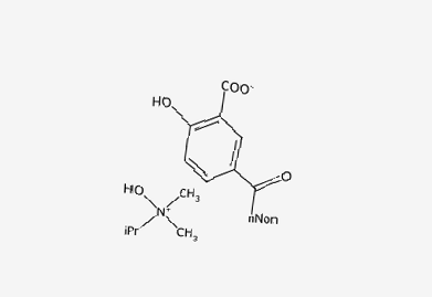 CC(C)[N+](C)(C)O.CCCCCCCCCC(=O)c1ccc(O)c(C(=O)[O-])c1